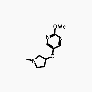 COc1ncc(OC2CCN(C)C2)cn1